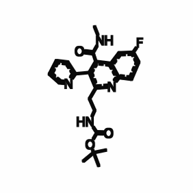 CNC(=O)c1c(-c2ccccn2)c(CCNC(=O)OC(C)(C)C)nc2ccc(F)cc12